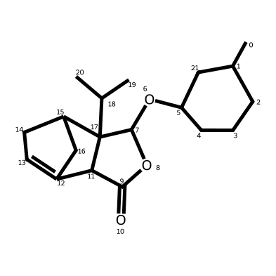 CC1CCCC(OC2OC(=O)C3C4=CCC(C4)C23C(C)C)C1